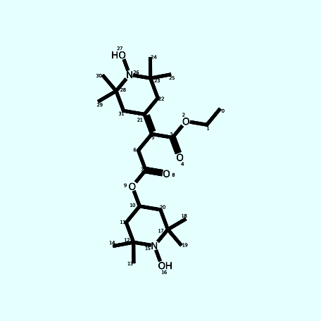 CCOC(=O)C(CC(=O)OC1CC(C)(C)N(O)C(C)(C)C1)=C1CC(C)(C)N(O)C(C)(C)C1